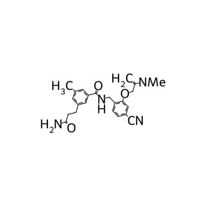 C=C(COc1cc(C#N)ccc1CNC(=O)c1cc(C)cc(CCC(N)=O)c1)NC